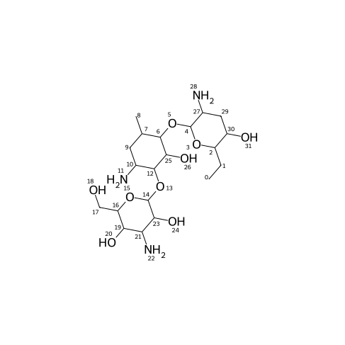 CCC1OC(OC2C(C)CC(N)C(OC3OC(CO)C(O)C(N)C3O)C2O)C(N)CC1O